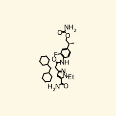 CCn1nc([C@@H](C(=O)Nc2ccc([C@H](C)COC(N)=O)cc2F)C(C2CCCCC2)C2CCCCC2)cc1C(N)=O